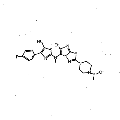 CCc1nc2sc(N3CCN([S+](C)[O-])CC3)nn2c1N(C)c1nc(-c2ccc(F)cc2)c(C#N)s1